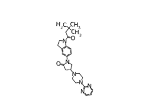 CC(C)(C)CC(=O)N1CCc2cc(N3CC(N4CCN(c5ncccn5)CC4)CC3=O)ccc21